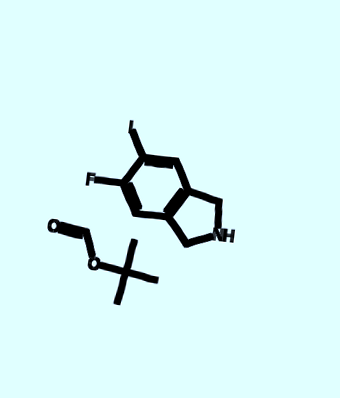 CC(C)(C)OC=O.Fc1cc2c(cc1I)CNC2